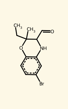 CCC1(C)Oc2ccc(Br)cc2NC1C=O